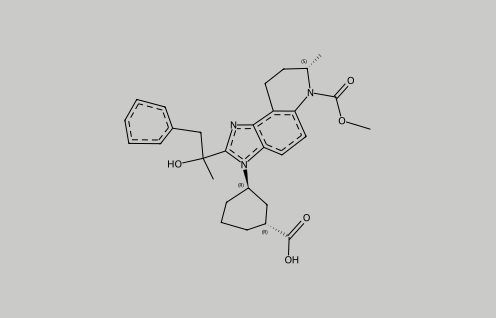 COC(=O)N1c2ccc3c(nc(C(C)(O)Cc4ccccc4)n3[C@@H]3CCC[C@@H](C(=O)O)C3)c2CC[C@@H]1C